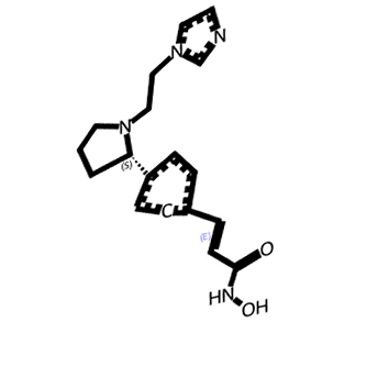 O=C(/C=C/c1ccc([C@@H]2CCCN2CCn2ccnc2)cc1)NO